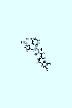 CC(C(=O)N[C@H](CN1CC[C@H](O)C1)c1cccc(C#N)c1)c1ccc2oc(=O)[nH]c2c1